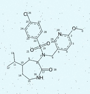 COc1ccc(CN(C2CC(C(C)C)CCNC2=O)S(=O)(=O)c2ccc(Cl)cc2)cn1